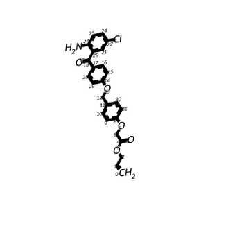 C=CCOC(=O)COc1ccc(COc2ccc(C(=O)c3cc(Cl)ccc3N)cc2)cc1